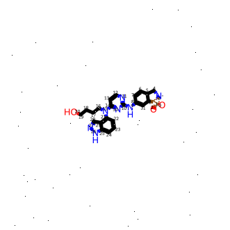 O=S1(=O)[N]CC2C=CC(Nc3nccc(N(CCCCO)c4cccc5[nH]ncc45)n3)=CC21